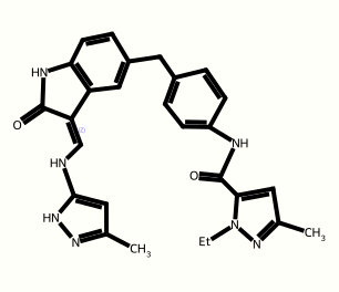 CCn1nc(C)cc1C(=O)Nc1ccc(Cc2ccc3c(c2)/C(=C/Nc2cc(C)n[nH]2)C(=O)N3)cc1